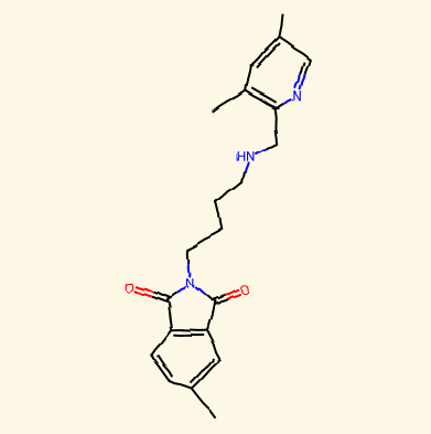 Cc1cnc(CNCCCCN2C(=O)c3ccc(C)cc3C2=O)c(C)c1